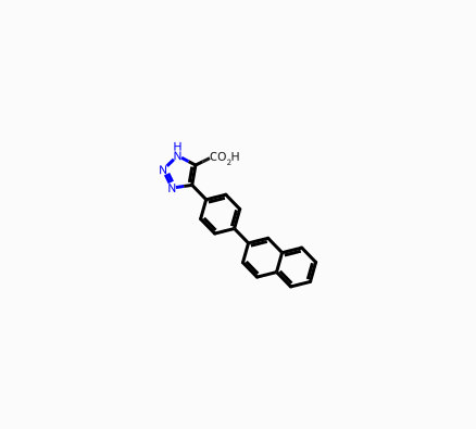 O=C(O)c1[nH]nnc1-c1ccc(-c2ccc3ccccc3c2)cc1